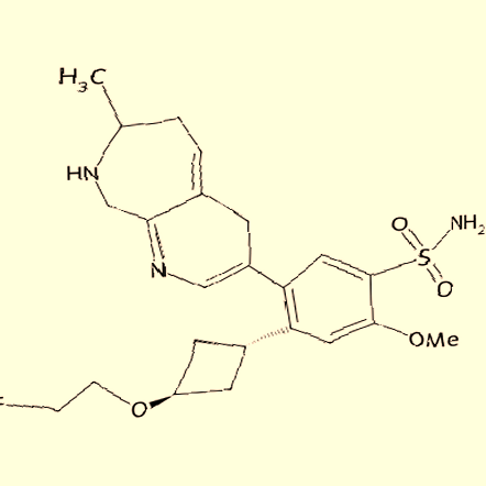 COc1cc([C@H]2C[C@H](OCCF)C2)c(C2=CN=C3CNC(C)CC=C3C2)cc1S(N)(=O)=O